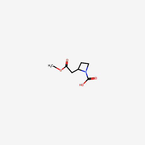 COC(=O)CC1CCN1C(=O)O